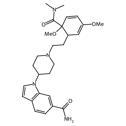 COC1=CC(CCN2CCC(n3ccc4ccc(C(N)=O)cc43)CC2)C(OC)(C(=O)N(C)C)C=C1